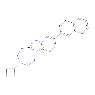 c1ccc2cc(-c3ccc4c(c3)nc3n4CCN(C4CCC4)CC3)ccc2c1